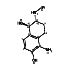 CC(C)N[C@@H]1CCc2c(ccc(O)c2N)[C@H]1O